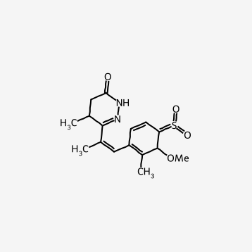 COC1C(C)=C(C=C(C)C2=NNC(=O)CC2C)C=CC1=S(=O)=O